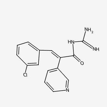 N=C(N)NC(=O)/C(=C/c1cccc(Cl)c1)c1cccnc1